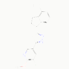 Cc1cccc2c1CC[C@H]2c1nnc(-c2cnc(OC(C)C)c(Cl)c2)s1